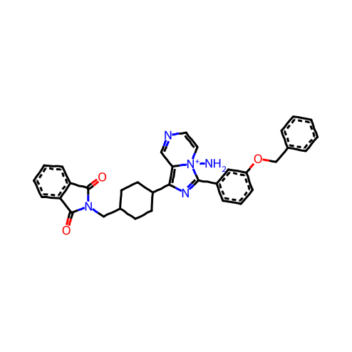 N[N+]12C=CN=CC1=C(C1CCC(CN3C(=O)c4ccccc4C3=O)CC1)N=C2c1cccc(OCc2ccccc2)c1